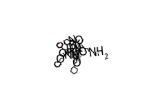 NCCCC[C@H](NC(=O)[C@@H]1C[C@@H](OCC2CCCCC2)CN1C(=O)[C@@H](CCc1ccccc1)NC(=O)COc1ccccc1)C(=O)c1nc2ccccc2o1